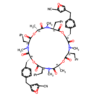 CC(C)C[C@H]1C(=O)O[C@H](Cc2ccc(Cc3coc(C#N)c3)cc2)C(=O)N(C)[C@@H](CC(C)C)C(=O)O[C@H](C)C(=O)N(C)[C@@H](CC(C)C)C(=O)O[C@H](Cc2ccc(Cc3coc(C#N)c3)cc2)C(=O)N(C)[C@@H](CC(C)C)C(=O)O[C@H](C)C(=O)N1C